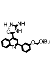 CC(C)COCOc1cccc(-c2cc(C(=O)NC(=N)N)c3ccccc3n2)c1